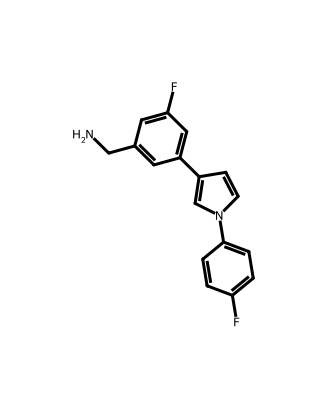 NCc1cc(F)cc(-c2ccn(-c3ccc(F)cc3)c2)c1